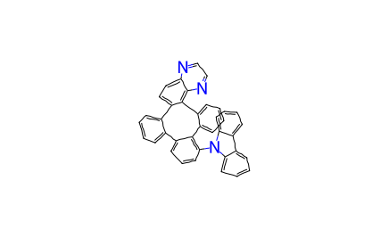 c1ccc2c(c1)-c1cccc(-n3c4ccccc4c4ccccc43)c1-c1ccccc1-c1c-2ccc2nccnc12